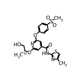 Cc1csc(NC(=O)c2cc(Oc3ccc(S(C)(=O)=O)cc3)nc(O[C@H](C)CO)c2)n1